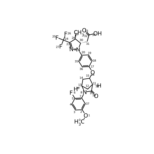 COc1ccc(F)c(N2C(=O)[C@H]3C[C@@H]2CC3Oc2ccc(N3N=C(C(F)(F)F)[C@@H](C)[C@@H]3CC(=O)O)cc2)c1